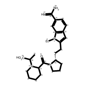 CCn1c(CC[C@@H]2CCCN2C(=O)C2CCCCN2C(C)C(=O)O)cc2ccc(C(=N)N)cc21